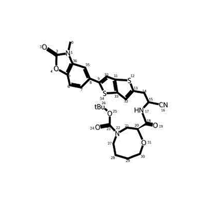 Cn1c(=O)oc2ccc(-c3cc4sc(CC(C#N)NC(=O)[C@@H]5CN(C(=O)OC(C)(C)C)CCCCO5)cc4s3)cc21